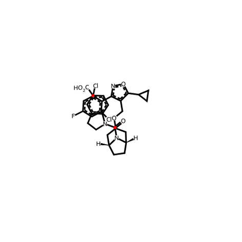 O=C(O)c1ccc2c(c1)CCN2C(=O)N1[C@@H]2CC[C@H]1CC(OCc1c(-c3c(Cl)cc(F)cc3Cl)noc1C1CC1)C2